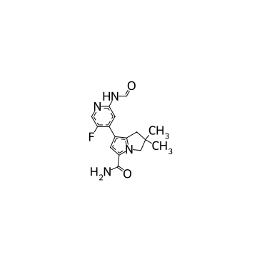 CC1(C)Cc2c(-c3cc(NC=O)ncc3F)cc(C(N)=O)n2C1